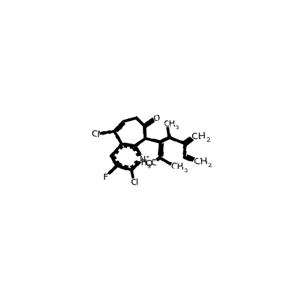 C=CC(=C)C(C)C(=C(C)C)C1C(=O)CC=C(Cl)c2cc(F)c(Cl)[n+]([O-])c21